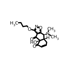 CCCCOc1noc2c1C(=O)[C@@]1(O)C(=O)C=CC[C@H]1[C@@H]2N(C)C